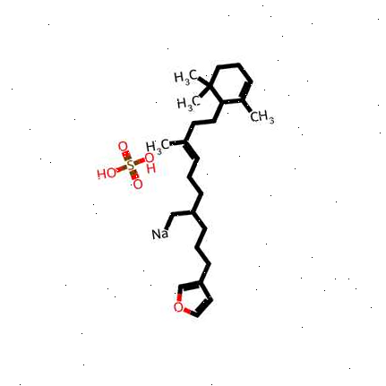 CC(=CCCC([CH2][Na])CCCc1ccoc1)CCC1C(C)=CCCC1(C)C.O=S(=O)(O)O